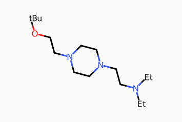 CCN(CC)CCN1CCN(CCOC(C)(C)C)CC1